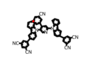 N#Cc1cc(C#N)cc(-c2ccc3c(c2)c2ccccc2n3-c2cc(-c3cccc(C#N)c3)c(-n3c4ccccc4c4cc(-c5cc(C#N)cc(C#N)c5)ccc43)cn2)c1